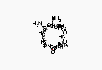 CC(C)C[C@@H]1NCN[C@@H](Cc2ccccc2)C(=O)CNCC(=O)CC(F)CCCN[C@@H](CCCCN)C(=O)CC(=O)[C@H](CCCCN)NCC(N)CC(F)CC(=O)CNCC1=O